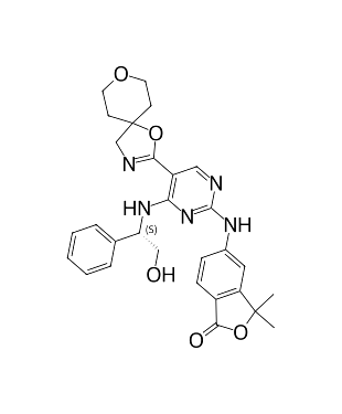 CC1(C)OC(=O)c2ccc(Nc3ncc(C4=NCC5(CCOCC5)O4)c(N[C@H](CO)c4ccccc4)n3)cc21